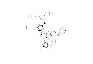 CCCN(CCC)C(=O)c1cc(C)cc(C(=O)N[C@@H](Cc2cc(F)cc(F)c2)C(O)[C@H]2CN(C(=O)N3CCOCC3)CCN2)c1